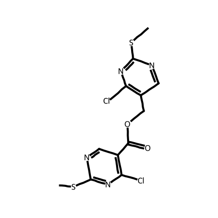 CSc1ncc(COC(=O)c2cnc(SC)nc2Cl)c(Cl)n1